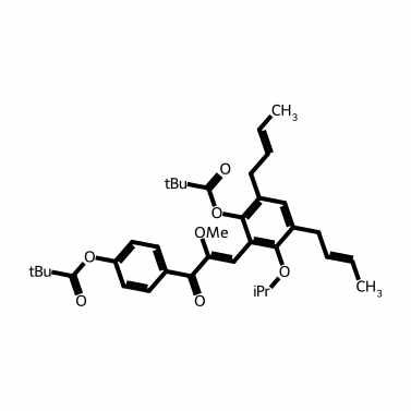 CC=CCc1cc(CC=CC)c(OC(C)C)c(C=C(OC)C(=O)c2ccc(OC(=O)C(C)(C)C)cc2)c1OC(=O)C(C)(C)C